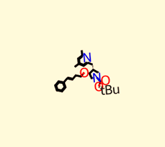 Cc1cc(C)nc(C[C@@H]2CN(C(=O)OC(C)(C)C)C[C@@H]2OCC/C=C/c2ccccc2)c1